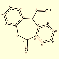 O=[C]C1c2ccccc2CC(=O)c2ccccc21